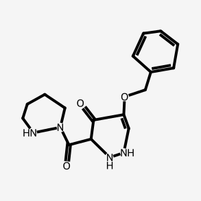 O=C1C(OCc2ccccc2)=CNNC1C(=O)N1CCCCN1